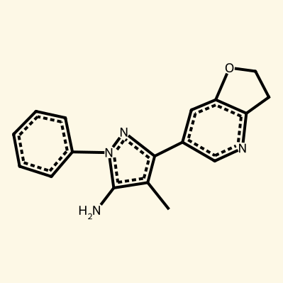 Cc1c(-c2cnc3c(c2)OCC3)nn(-c2ccccc2)c1N